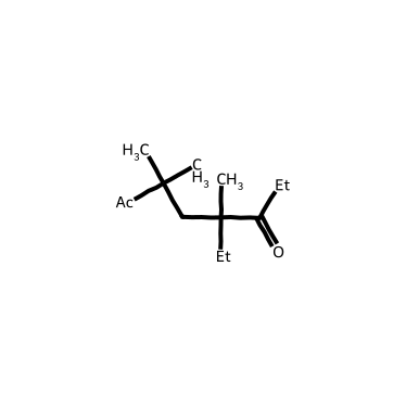 CCC(=O)C(C)(CC)CC(C)(C)C(C)=O